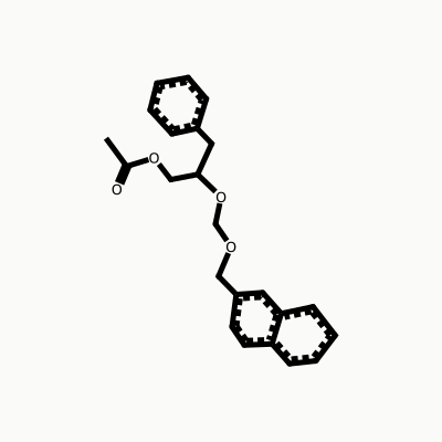 CC(=O)OCC(Cc1ccccc1)OCOCc1ccc2ccccc2c1